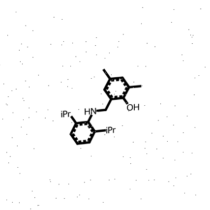 Cc1cc(C)c(O)c(CNc2c(C(C)C)cccc2C(C)C)c1